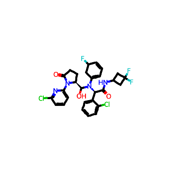 O=C(NC1CC(F)(F)C1)[C@@H](c1ccccc1Cl)N(C1=CC=CC(F)C1)C(O)[C@@H]1CCC(=O)N1c1cccc(Cl)n1